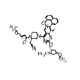 COC/C=C/C(=O)N1CCN(c2nc(OC[C@@H]3C[C@@H](OC)CN3C)nc3c(F)c(-c4cccc5cccc(Cl)c45)ncc23)CC1CC#N